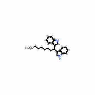 CCOC(=O)CCCCCCC(c1c[nH]c2ccccc12)c1c[nH]c2ccccc12